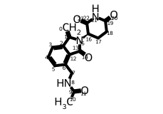 C=C1c2cccc(CNC(C)=O)c2C(=O)N1[C@@H]1CCC(=O)NC1=O